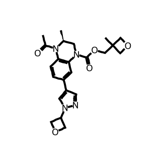 CC(=O)N1c2ccc(-c3cnn(C4COC4)c3)cc2N(C(=O)OCC2(C)COC2)C[C@@H]1C